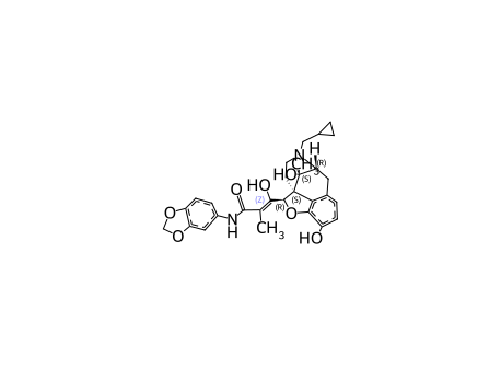 C/C(C(=O)Nc1ccc2c(c1)OCO2)=C(/O)[C@@H]1Oc2c(O)ccc3c2[C@@]12CCN(CC1CC1)[C@H](C3)[C@@]2(C)O